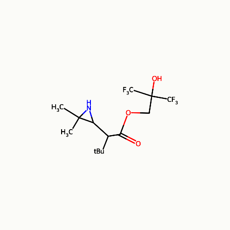 CC(C)(C)C(C(=O)OCC(O)(C(F)(F)F)C(F)(F)F)C1NC1(C)C